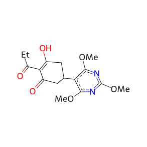 CCC(=O)C1=C(O)CC(c2c(OC)nc(OC)nc2OC)CC1=O